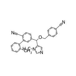 Cc1ccccc1-c1cc(C(OCc2ccc(C#N)cc2)c2cncn2C)ccc1C#N